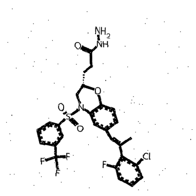 C/C(=C\c1ccc2c(c1)N(S(=O)(=O)c1cccc(C(F)(F)F)c1)C[C@H](CCC(=O)NN)O2)c1c(F)cccc1Cl